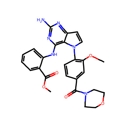 COC(=O)c1ccccc1Nc1nc(N)nc2ccn(-c3ccc(C(=O)N4CCOCC4)cc3OC)c12